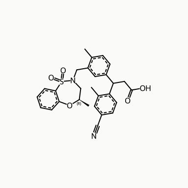 Cc1ccc(C(CC(=O)O)c2ccc(C#N)cc2C)cc1CN1C[C@@H](C)Oc2ccccc2S1(=O)=O